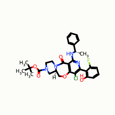 C[C@H](Nc1nc(-c2c(O)cccc2F)c(Cl)c2c1C(=O)N1CCN(C(=O)OC(C)(C)C)C[C@@H]1CO2)c1ccccc1